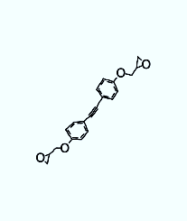 C(#Cc1ccc(OCC2CO2)cc1)c1ccc(OCC2CO2)cc1